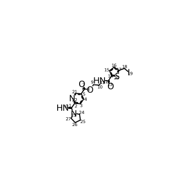 N=C(c1ccc(C(=O)OCCNC(=O)c2ccc(CI)s2)cn1)N1CCCC1